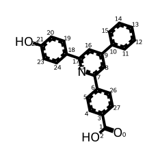 O=C(O)c1ccc(-c2cc(-c3ccccc3)cc(-c3ccc(O)cc3)n2)cc1